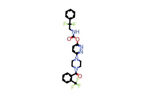 O=C(NCC(F)(F)c1ccccc1)Oc1ccc(N2CCN(C(=O)c3ccccc3C(F)(F)F)CC2)nn1